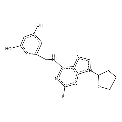 Oc1cc(O)cc(CNc2nc(F)nc3c2ncn3C2CCCO2)c1